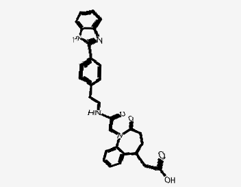 O=C(O)CC1CCC(=O)N(CC(=O)NCCc2ccc(-c3nc4ccccc4[nH]3)cc2)c2ccccc21